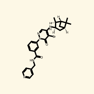 C[C@H]1[C@H]2C[C@H](C[C@H]1Nc1cnn(-c3cccc(C(=O)NCc4ccncc4)c3)c(=O)c1Br)C2(C)C